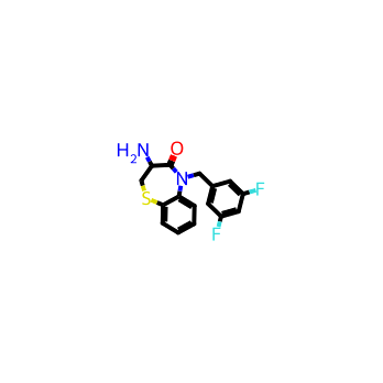 NC1CSc2ccccc2N(Cc2cc(F)cc(F)c2)C1=O